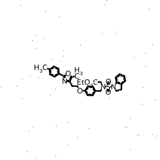 CCOC(=O)CN(Cc1ccc(OCCc2nc(-c3ccc(C)cc3)oc2C)cc1)S(=O)(=O)N1CCc2ccccc21